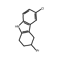 CC(C)C1CCc2[nH]c3ccc(Cl)cc3c2C1